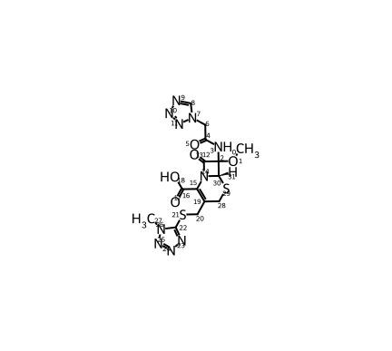 COC1(NC(=O)Cn2cnnn2)C(=O)N2C(C(=O)O)=C(CSc3nnnn3C)CS[C@H]21